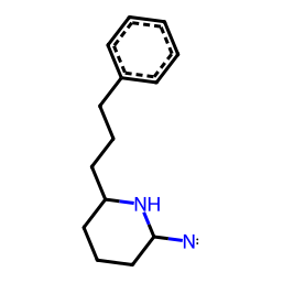 [N]C1CCCC(CCCc2ccccc2)N1